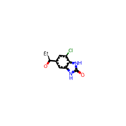 CCC(=O)c1cc(Cl)c2[nH]c(=O)[nH]c2c1